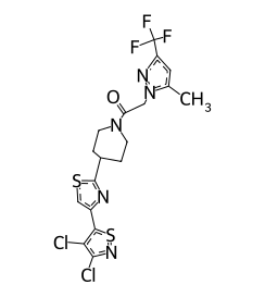 Cc1cc(C(F)(F)F)nn1CC(=O)N1CCC(c2nc(-c3snc(Cl)c3Cl)cs2)CC1